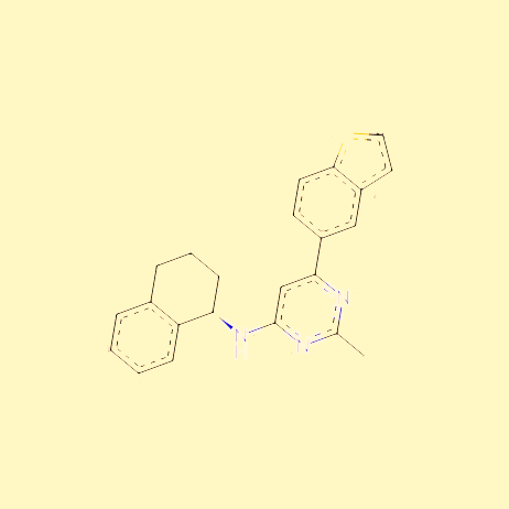 Cc1nc(N[C@@H]2CCCc3ccccc32)cc(-c2ccc3sccc3c2)n1